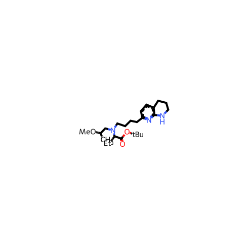 CCC(C(=O)OC(C)(C)C)N(CCCCc1ccc2c(n1)NCCC2)CC(C)OC